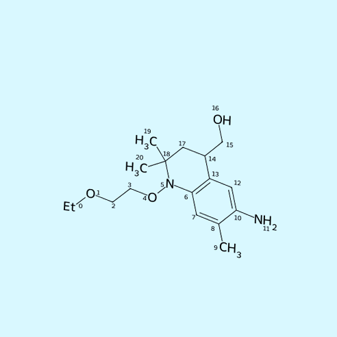 CCOCCON1c2cc(C)c(N)cc2C(CO)CC1(C)C